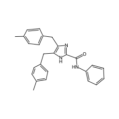 Cc1ccc(Cc2nc(C(=O)Nc3ccccc3)[nH]c2Cc2ccc(C)cc2)cc1